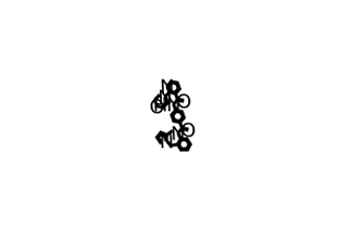 O=C(Nc1ccc(C(=O)N2Cc3cccn3Cc3ccccc32)cc1)c1cccnc1N1CCOCC1